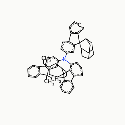 CCC1CC2CCCC(C1)C21c2ccccc2-c2cccc(N(c3ccc4c(c3)C(C)(C)c3ccccc3-4)c3ccc4c(c3)C3(c5ccccc5-4)C4CC5CC(C4)CC3C5)c21